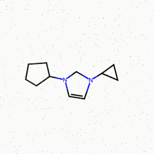 C1=CN(C2CC2)CN1C1CCCC1